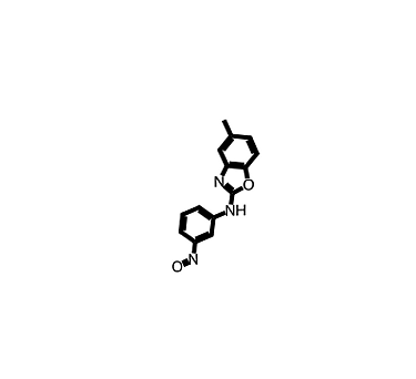 Cc1ccc2oc(Nc3cccc(N=O)c3)nc2c1